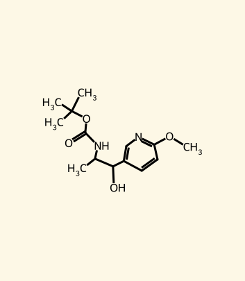 COc1ccc(C(O)C(C)NC(=O)OC(C)(C)C)cn1